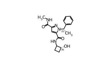 CNC(=O)c1cc(C(=O)NC2CC[C@H]2O)n([C@@H](C)c2ccccc2)n1